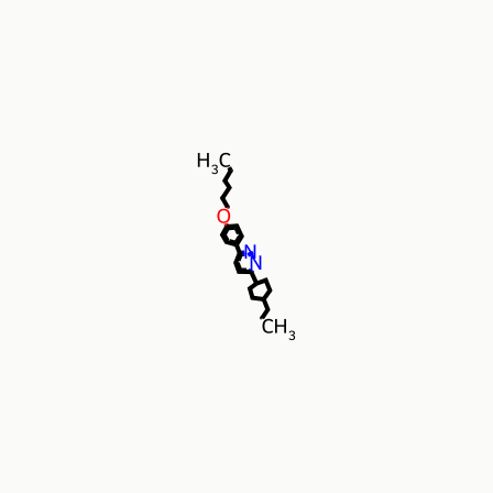 CCCCCCOc1ccc(-c2ccc(C3CCC(CCC)CC3)nn2)cc1